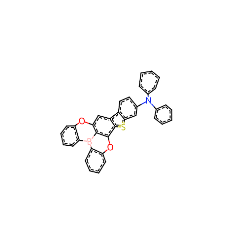 c1ccc(N(c2ccccc2)c2ccc3c(c2)sc2c4c5c(cc23)Oc2ccccc2B5c2ccccc2O4)cc1